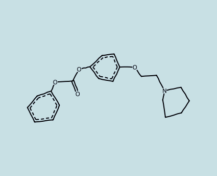 O=C(Oc1ccccc1)Oc1ccc(OCCN2CCCCC2)cc1